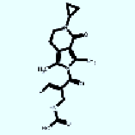 Cc1c2c(c(C)n1C(=O)C(=CF)CNC(=O)O)C(=O)N(C1CC1)CC2